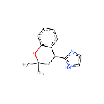 CC1(C)CC(c2ncc[nH]2)c2ccccc2O1